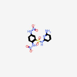 Nc1cccc(NS(=O)(=O)c2cc(N[N+](=O)[O-])ccc2N[N+](=O)[O-])n1